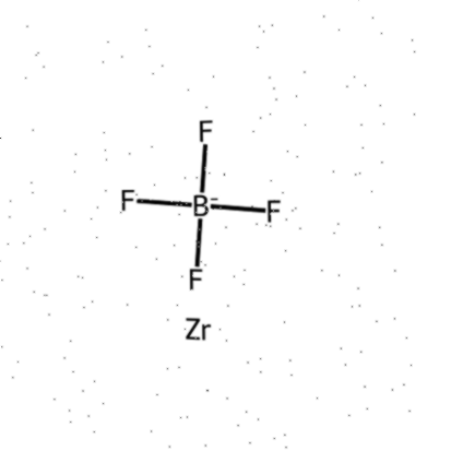 F[B-](F)(F)F.[Zr]